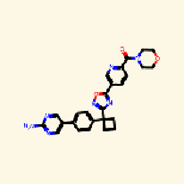 Nc1ncc(-c2ccc(C3(c4noc(-c5ccc(C(=O)N6CCOCC6)nc5)n4)CCC3)cc2)cn1